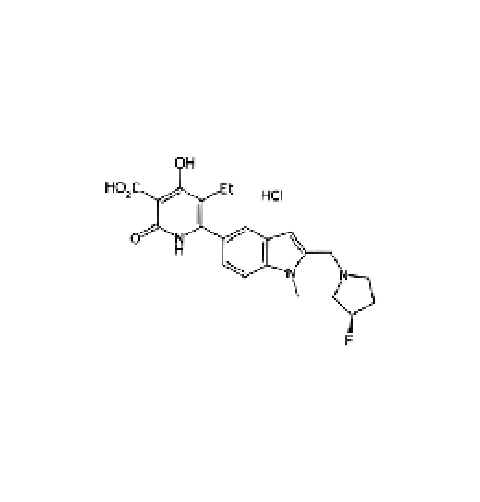 CCc1c(-c2ccc3c(c2)cc(CN2CC[C@@H](F)C2)n3C)[nH]c(=O)c(C(=O)O)c1O.Cl